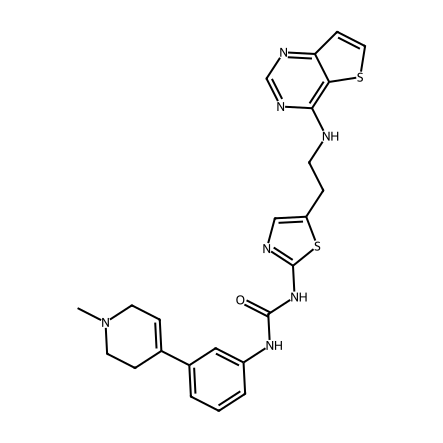 CN1CC=C(c2cccc(NC(=O)Nc3ncc(CCNc4ncnc5ccsc45)s3)c2)CC1